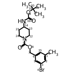 Cc1cc(Br)cc(COC(=O)N2CCC(NC(=O)OC(C)(C)C)CC2)c1